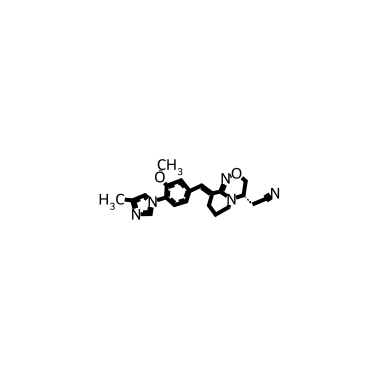 COc1cc(/C=C2\CCCN3C2=NOC[C@@H]3CC#N)ccc1-n1cnc(C)c1